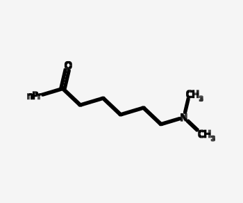 CCCC(=O)CCCCCN(C)C